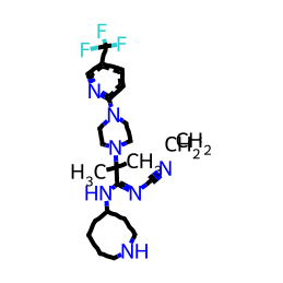 CC(C)(C(=NC#N)NC1CCCCNCC1)N1CCN(c2ccc(C(F)(F)F)cn2)CC1.[CH2].[CH2]